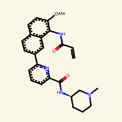 C=CC(=O)Nc1c(OC)ccc2ccc(-c3cccc(C(=O)N[C@@H]4CCCN(C)C4)n3)cc12